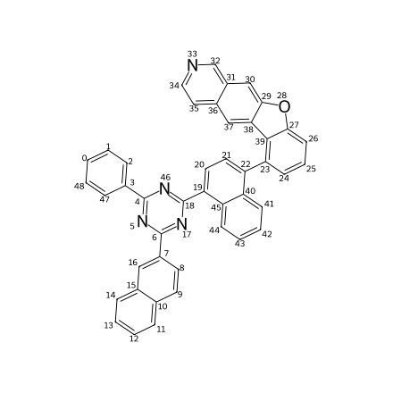 c1ccc(-c2nc(-c3ccc4ccccc4c3)nc(-c3ccc(-c4cccc5oc6cc7cnccc7cc6c45)c4ccccc34)n2)cc1